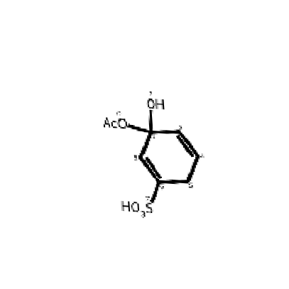 CC(=O)OC1(O)C=CCC(S(=O)(=O)O)=C1